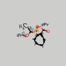 CC(C)OC(=O)c1ccccc1[PH](=O)C(C)OC(C)C